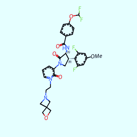 COc1cc(F)c([C@@H]2CN(c3cccn(CCN4CC5(COC5)C4)c3=O)C(=O)[C@H]2NC(=O)c2ccc(OC(F)F)cc2)c(F)c1